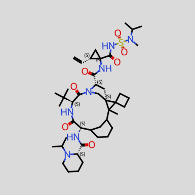 C=C[C@@H]1C[C@]1(NC(=O)[C@@H]1C[C@@]23CN1C(=O)[C@H](C(C)(C)C)NC(=O)[C@@H](NC(=O)[C@@H]1CCCCN1C(C)C)C1CCCC(C1)C2(C)C31CCC1)C(=O)NS(=O)(=O)N(C)C(C)C